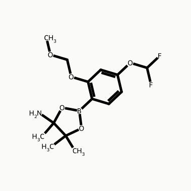 COCOc1cc(OC(F)F)ccc1B1OC(C)(C)C(C)(N)O1